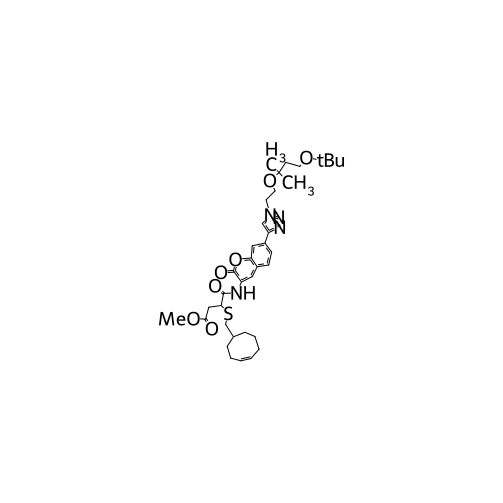 COC(=O)CC(SCC1CC/C=C\CCC1)C(=O)Nc1cc2ccc(-c3cn(CCOC(C)(C)CCOC(C)(C)C)nn3)cc2oc1=O